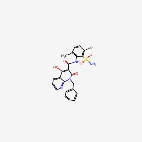 Cc1ccc(Br)c(S(N)(=O)=O)c1NC(=O)c1c(O)c2cccnc2n(Cc2ccccc2)c1=O